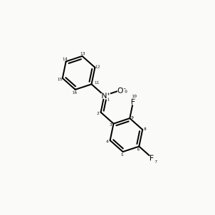 [O-][N+](=Cc1ccc(F)cc1F)c1ccccc1